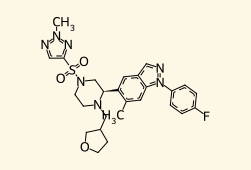 Cc1cc2c(cnn2-c2ccc(F)cc2)cc1[C@@H]1CN(S(=O)(=O)c2cnn(C)n2)CCN1CC1CCOC1